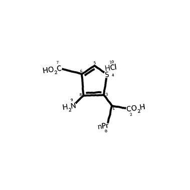 CCCC(C(=O)O)c1scc(C(=O)O)c1N.Cl